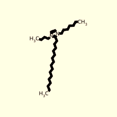 CCCCCCCCCCCCCCCCc1n(CCCCCCC)cc[n+]1CCCC